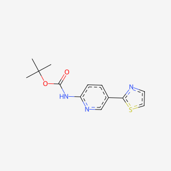 CC(C)(C)OC(=O)Nc1ccc(-c2nccs2)cn1